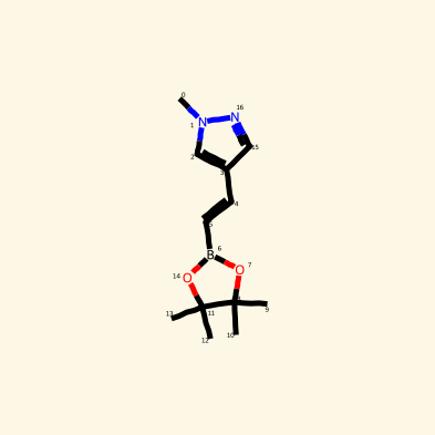 Cn1cc(C=CB2OC(C)(C)C(C)(C)O2)cn1